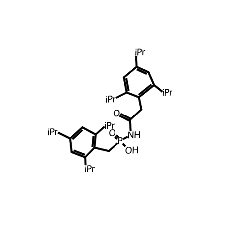 CC(C)c1cc(C(C)C)c(CC(=O)NP(=O)(O)Cc2c(C(C)C)cc(C(C)C)cc2C(C)C)c(C(C)C)c1